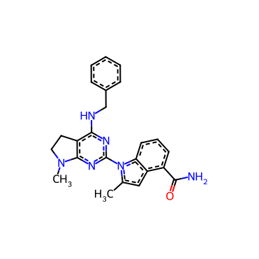 Cc1cc2c(C(N)=O)cccc2n1-c1nc(NCc2ccccc2)c2c(n1)N(C)CC2